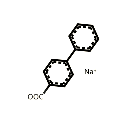 O=C([O-])c1ccc(-c2ccccc2)cc1.[Na+]